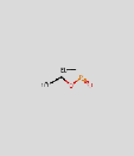 CCC.CCCCOP=O